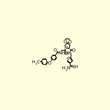 Cc1ccc(Oc2ccc(C(=O)NCC(=O)N3CC4(C[C@H]3C(=O)NCc3cc(C(=N)N)cs3)OCCO4)cc2)cc1